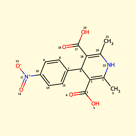 CC1=C(C(=O)O)C(c2ccc([N+](=O)[O-])cc2)C(C(=O)O)=C(C)N1